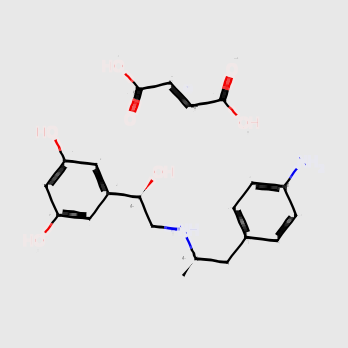 C[C@H](Cc1ccc(N)cc1)NC[C@H](O)c1cc(O)cc(O)c1.O=C(O)/C=C/C(=O)O